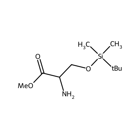 COC(=O)C(N)CO[Si](C)(C)C(C)(C)C